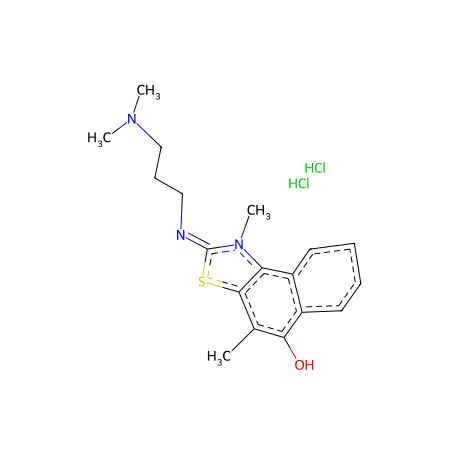 Cc1c(O)c2ccccc2c2c1sc(=NCCCN(C)C)n2C.Cl.Cl